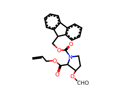 C=CCOC(=O)C1C(OC=O)CCN1C(=O)OCC1c2ccccc2-c2ccccc21